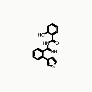 N=C(NC(=O)c1ccccc1O)c1ccccc1-c1ccsc1